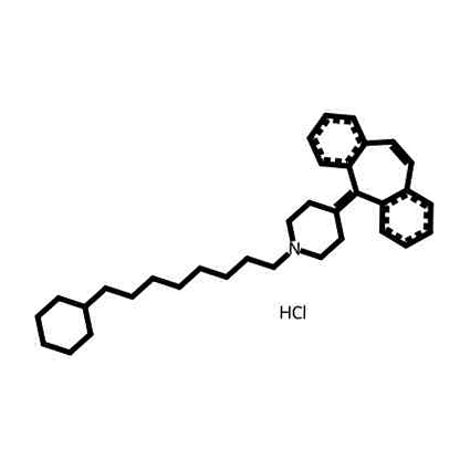 C1=Cc2ccccc2C(=C2CCN(CCCCCCCCC3CCCCC3)CC2)c2ccccc21.Cl